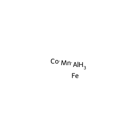 [AlH3].[Co].[Fe].[Mn]